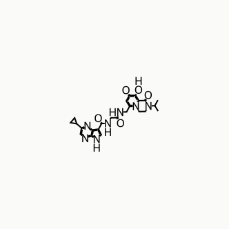 CC(C)N1CCn2c(CNC(=O)CNC(=O)c3c[nH]c4ncc(C5CC5)nc34)cc(=O)c(O)c2C1=O